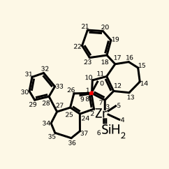 CC1=[C]([Zr]([CH3])([CH3])(=[SiH2])[C]2=C(C)CC3=C2CCCCC3c2ccccc2)C2=C(C1)C(c1ccccc1)CCCC2